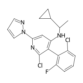 CC(Nc1cc(-n2cccn2)nc(Cl)c1-c1c(F)cccc1Cl)C1CC1